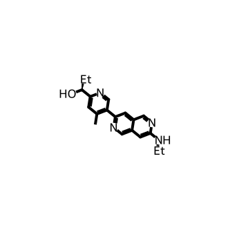 CCNc1cc2cnc(-c3cnc([C@@H](O)CC)cc3C)cc2cn1